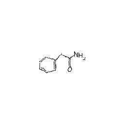 NC(=O)[CH]c1ccccc1